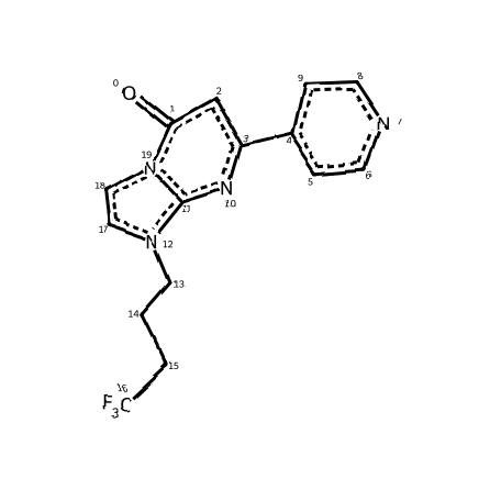 O=c1cc(-c2ccncc2)nc2n(CCCC(F)(F)F)ccn12